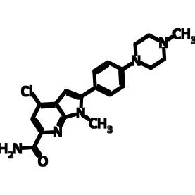 CN1CCN(c2ccc(-c3cc4c(Cl)cc(C(N)=O)nc4n3C)cc2)CC1